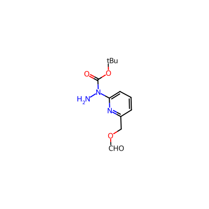 CC(C)(C)OC(=O)N(N)c1cccc(COC=O)n1